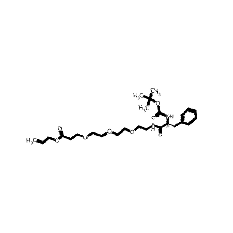 C=CCOC(=O)CCOCCOCCOCCNC(=O)[C@H](Cc1ccccc1)NC(=O)OC(C)(C)C